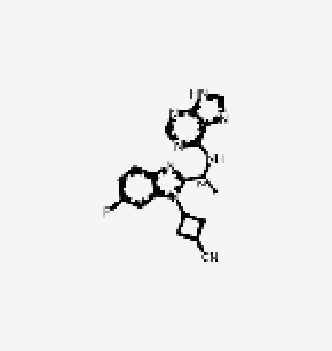 C[C@H](Nc1ncnc2[nH]cnc12)c1nc2ccc(F)cc2n1C1CC(C#N)C1